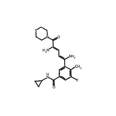 Cc1c(F)cc(C(=O)NC2CC2)cc1/C(N)=C/C=C(\N)C(=O)N1CCSCC1